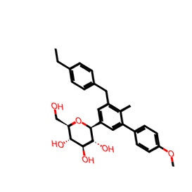 CCc1ccc(Cc2cc([C@@H]3O[C@H](CO)[C@@H](O)[C@H](O)[C@H]3O)cc(-c3ccc(OC)cc3)c2C)cc1